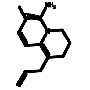 C=CCC1=C(/C=C\C(C)F)N(C(N)=O)CCC1